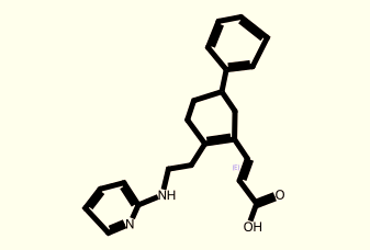 O=C(O)/C=C/C1=C(CCNc2ccccn2)CCC(c2ccccc2)C1